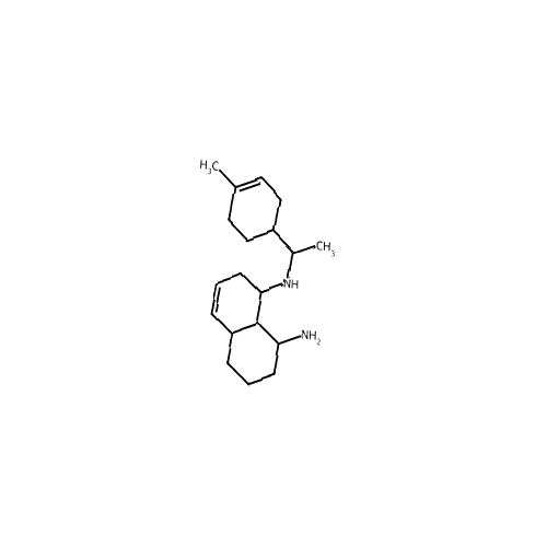 CC1=CCC(C(C)NC2CC=CC3CCCC(N)C32)CC1